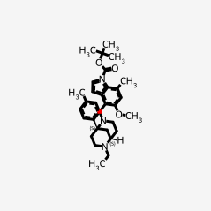 CCN1CC[C@@]2(c3ccc(C)cc3)C[C@@H]1CCN2Cc1c(OC)cc(C)c2c1ccn2C(=O)OC(C)(C)C